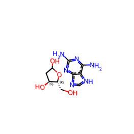 Nc1nc(N)c2[nH]cnc2n1.OC[C@H]1OC(O)C[C@@H]1O